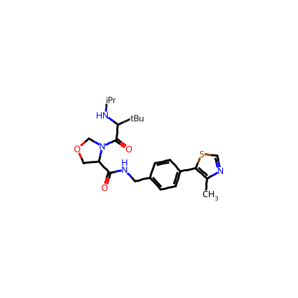 Cc1ncsc1-c1ccc(CNC(=O)C2COCN2C(=O)C(NC(C)C)C(C)(C)C)cc1